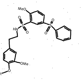 CCOc1ccc(CCNS(=O)(=O)c2cc(S(=O)(=O)c3ccccc3)ccc2OC)cc1OC